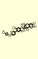 CO[C@H]1C[C@@H](Oc2ccc(-c3cc(F)c(NC(=O)N4[C@H]5CC[C@@H]4c4n[nH]c(=O)cc4C5)cc3Cl)cn2)C1